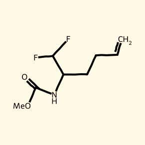 C=CCCC(NC(=O)OC)C(F)F